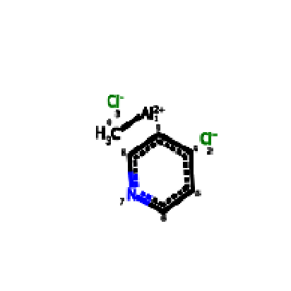 [CH3][Al+2].[Cl-].[Cl-].c1ccncc1